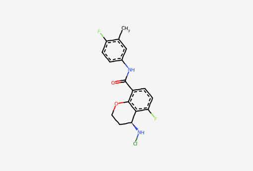 Cc1cc(NC(=O)c2ccc(F)c3c2OCC[C@@H]3NCl)ccc1F